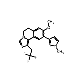 COc1cc2c(cc1-c1ccn(C)n1)-c1c(CC(F)(F)F)ncn1CC2